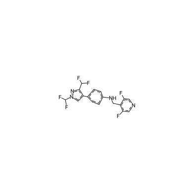 Fc1cncc(F)c1CNc1ccc(-c2cn(C(F)F)nc2C(F)F)cc1